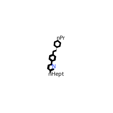 CCCCCCCc1ccc(-c2ccc(CC[C@H]3CC[C@H](CCC)CC3)cc2)nc1